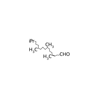 CC(=CCCC=O)CCCC(C)CCCC(C)CCCC(C)C